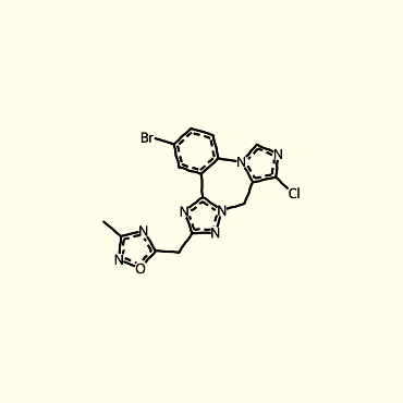 Cc1noc(Cc2nc3n(n2)Cc2c(Cl)ncn2-c2ccc(Br)cc2-3)n1